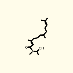 CC(C)=CCCC(C)=CCCC(C)=CC(=O)N(C)C(C)O